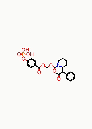 CC(=O)C(c1ccccc1)C1CCCCN1C(=O)OCOC(=O)c1ccc(OP(=O)(O)O)cc1